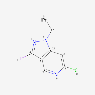 CC(C)Cn1nc(I)c2cnc(Cl)cc21